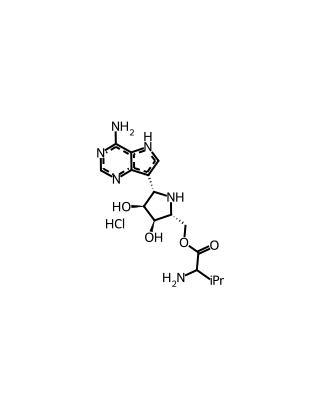 CC(C)C(N)C(=O)OC[C@H]1N[C@@H](c2c[nH]c3c(N)ncnc23)[C@H](O)[C@@H]1O.Cl